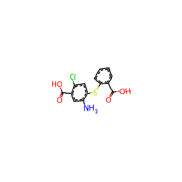 Nc1cc(C(=O)O)c(Cl)cc1Sc1ccccc1C(=O)O